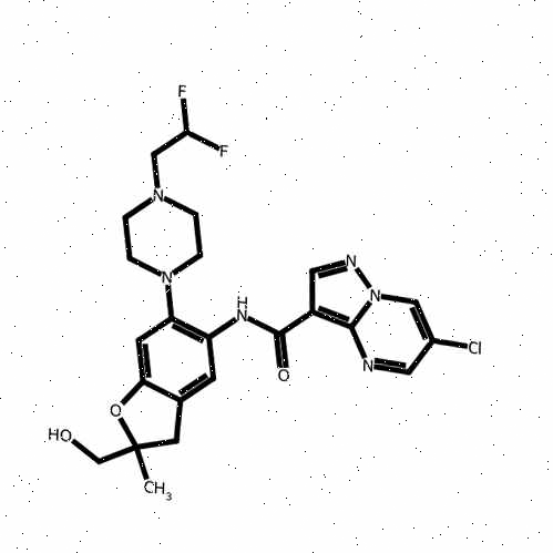 CC1(CO)Cc2cc(NC(=O)c3cnn4cc(Cl)cnc34)c(N3CCN(CC(F)F)CC3)cc2O1